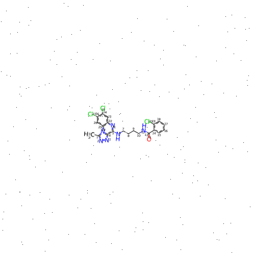 Cc1nnc2c(NCCCCNC(=O)c3ccccc3Cl)nc3cc(Cl)c(Cl)cc3n12